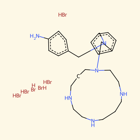 Br.Br.Br.Br.Br.Br.Nc1ccc(CN2Cc3ccc(cc3)C2N2CCCNCCNCCCNCC2)cc1